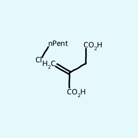 C=C(CC(=O)O)C(=O)O.CCCCCCl